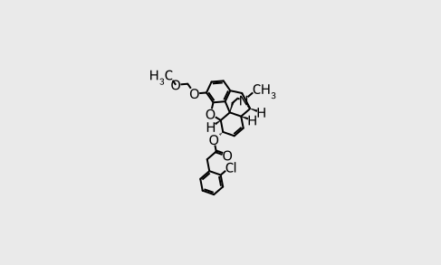 COCOc1ccc2c3c1O[C@H]1[C@@H](OC(=O)Cc4ccccc4Cl)C=C[C@H]4[C@@H](C2)N(C)CC[C@@]341